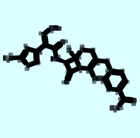 CO/N=C(\C(=O)N[C@@H]1C(=O)N2C(C(=O)[O-])=C(C[n+]3ccc(C(N)=O)cc3)CS[C@@H]12)c1csc(N)n1